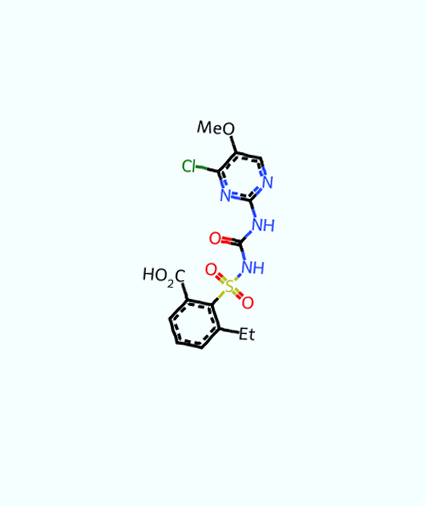 CCc1cccc(C(=O)O)c1S(=O)(=O)NC(=O)Nc1ncc(OC)c(Cl)n1